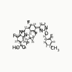 Cc1ccc(COc2nccc(-c3cc(F)c(Cc4nc5c(F)cc(C(=O)O)cc5n4CC4(CF)CC4)cc3F)n2)c(F)c1